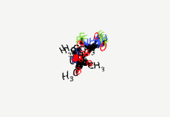 [C-]#[N+]CCOP(OC(COCC(CCCNC(=O)C(F)(F)F)(CCCNC(=O)C(F)(F)F)CCCNC(=O)C(F)(F)F)COC(c1ccccc1)(c1ccc(OC)cc1)c1ccc(OC)cc1)N(C(C)C)C(C)C